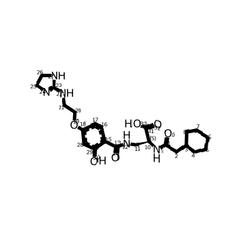 O=C(CC1CCCCC1)N[C@@H](CNC(=O)c1ccc(OCCNC2=NCCN2)cc1O)C(=O)O